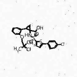 CC(C)(Cl)COc1ccccc1C1CC1(NS(=O)(=O)c1ccc(-c2ccc(Cl)cc2)s1)C(=O)O